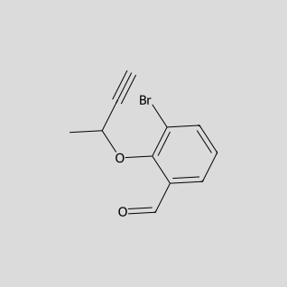 C#CC(C)Oc1c(Br)cccc1C=O